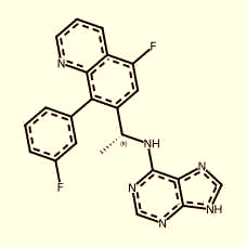 C[C@@H](Nc1ncnc2[nH]cnc12)c1cc(F)c2cccnc2c1-c1cccc(F)c1